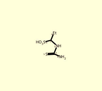 CCC(NC(N)=S)S(=O)(=O)O